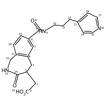 O=C(O)CC1Cc2cc(C(=O)NCCCc3ccncc3)ccc2CNC1=O